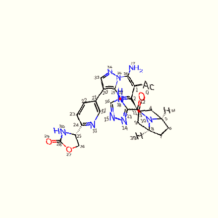 CC(=O)c1c([C@H]2C[C@H]3CC[C@@H](C2)N3C(=O)c2nnc[nH]2)nc2c(-c3ccc([C@@H]4COC(=O)N4)nc3)cnn2c1N